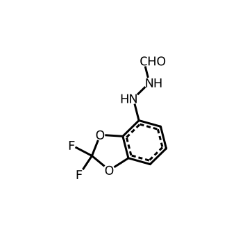 O=CNNc1cccc2c1OC(F)(F)O2